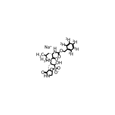 [2H]c1c([2H])c([2H])c(COC(=O)N[C@@H](CC(C)C)C(=O)N[C@@H](C[C@@H]2CCNC2=O)C(O)S(=O)(=O)[O-])c([2H])c1[2H].[Na+]